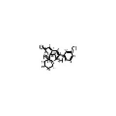 O=C1C=C2C=C(c3cccc(Cl)c3)[C@@H]3C[C@@]2(O1)[C@H]1CCCCN31